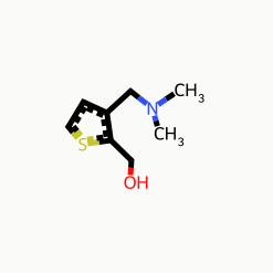 CN(C)Cc1ccsc1CO